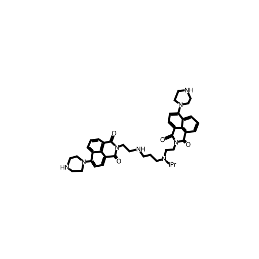 CC(C)N(CCCNCCN1C(=O)c2cccc3c(N4CCNCC4)ccc(c23)C1=O)CCN1C(=O)c2cccc3c(N4CCNCC4)ccc(c23)C1=O